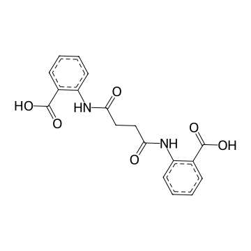 O=C(CCC(=O)Nc1ccccc1C(=O)O)Nc1ccccc1C(=O)O